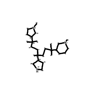 CN1CCCC(C(C)(C)CCC(C)(CCC(C)(C)C2CCN(C)C2)C2CCNC2)C1